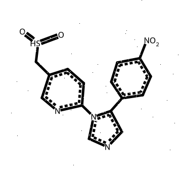 O=[N+]([O-])c1ccc(-c2cncn2-c2ccc(C[SH](=O)=O)cn2)cc1